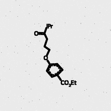 CCOC(=O)c1ccc(OCCCC(=O)C(C)C)cc1